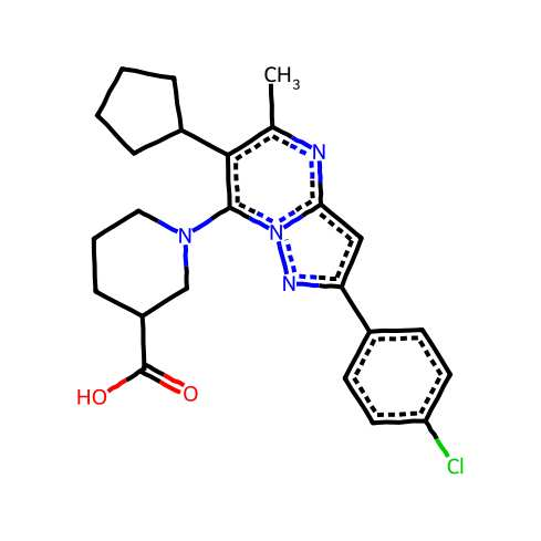 Cc1nc2cc(-c3ccc(Cl)cc3)nn2c(N2CCCC(C(=O)O)C2)c1C1CCCC1